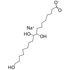 O=C([O-])CCCCCCCC(O)C(O)CCCCCCCCO.[Na+]